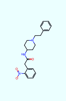 O=C(Cc1ccccc1[N+](=O)[O-])NC1CCN(CCc2ccccc2)CC1